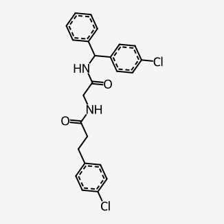 O=C(CCc1ccc(Cl)cc1)NCC(=O)NC(c1ccccc1)c1ccc(Cl)cc1